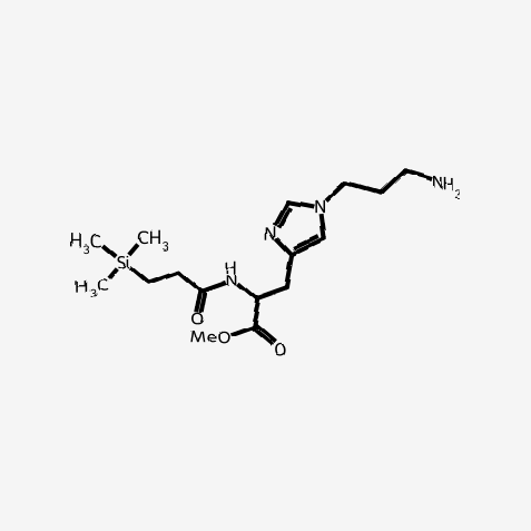 COC(=O)C(Cc1cn(CCCN)cn1)NC(=O)CC[Si](C)(C)C